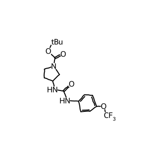 CC(C)(C)OC(=O)N1CCC(NC(=O)Nc2ccc(OC(F)(F)F)cc2)C1